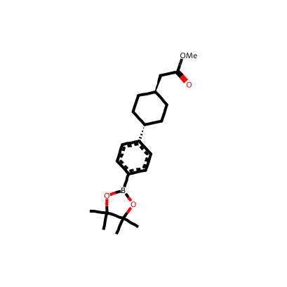 COC(=O)C[C@H]1CC[C@H](c2ccc(B3OC(C)(C)C(C)(C)O3)cc2)CC1